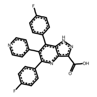 O=C(O)c1n[nH]c2c(-c3ccc(F)cc3)c(-c3ccncc3)c(-c3ccc(F)cc3)nc12